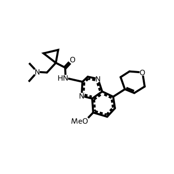 COc1ccc(C2=CCOCC2)c2ncc(NC(=O)C3(CN(C)C)CC3)nc12